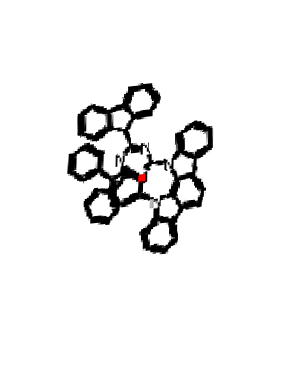 c1ccc(-c2ccc(-n3c4ccccc4c4ccc5c6ccccc6n(-c6nc(-c7ccccc7)nc(C7c8ccccc8-c8ccccc87)n6)c5c43)cc2)cc1